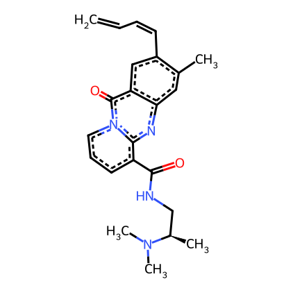 C=C/C=C\c1cc2c(=O)n3cccc(C(=O)NC[C@@H](C)N(C)C)c3nc2cc1C